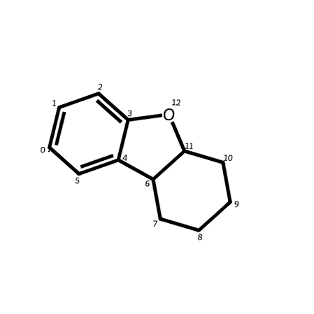 [c]1ccc2c(c1)C1CCCCC1O2